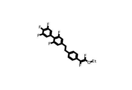 CCO/C(F)=C(\F)c1ccc(CCc2cc(F)c(-c3cc(F)c(F)c(F)c3)c(F)c2)cc1